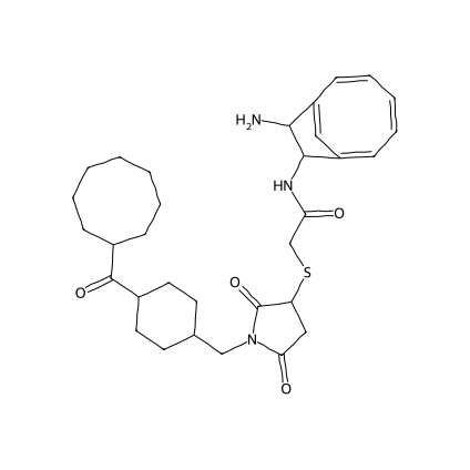 NC1C2=CC(=C/C=C\C=C/2)\C1NC(=O)CSC1CC(=O)N(CC2CCC(C(=O)C3CCCCCCC3)CC2)C1=O